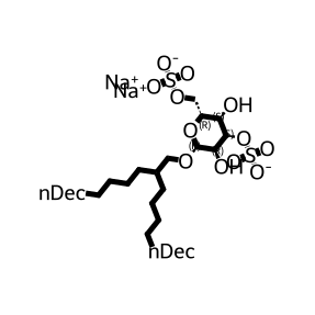 CCCCCCCCCCCCCCC(CCCCCCCCCCCCCC)CO[C@@H]1O[C@H](COS(=O)(=O)[O-])[C@H](O)[C@H](OS(=O)(=O)[O-])[C@H]1O.[Na+].[Na+]